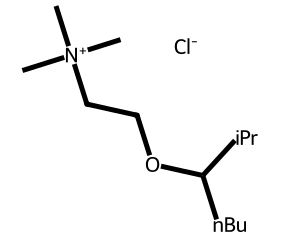 CCCCC(OCC[N+](C)(C)C)C(C)C.[Cl-]